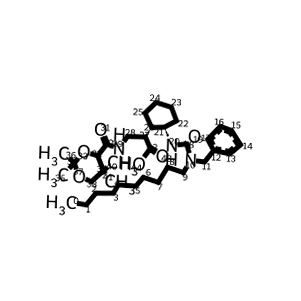 CCCCCCCCCCN(Cc1ccccc1)C(=O)N[C@H]1CCCC[C@H]1C(CNC(=O)C1OC(C)(C)OCC1(C)C)C(=O)O